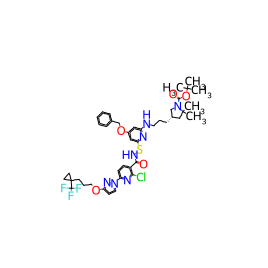 CC(C)(C)OC(=O)N1C[C@@H](CCCNc2cc(OCc3ccccc3)cc(SNC(=O)c3ccc(-n4ccc(OCCCC5(C(F)(F)F)CC5)n4)nc3Cl)n2)CC1(C)C